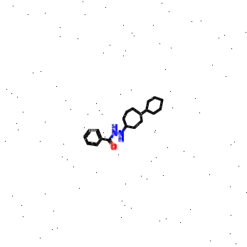 O=C(NNC1CCCC(C2CCCCC2)CC1)c1ccccc1